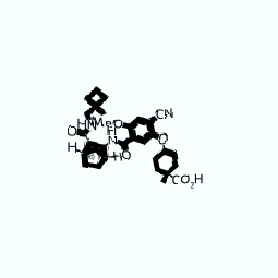 COc1cc(C#N)c(O[C@H]2CC[C@@](C)(C(=O)O)CC2)cc1C(=O)N[C@@H]1[C@H]2CC[C@H](C2)[C@@H]1C(=O)NCC1(C)CCC1